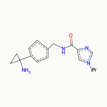 CC(C)n1cnc(C(=O)NCc2ccc(C3(N)CC3)cc2)c1